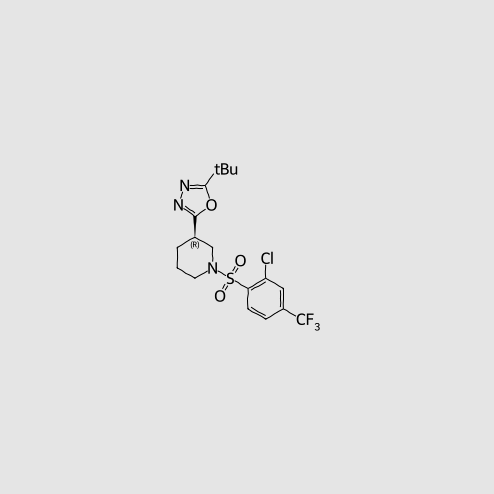 CC(C)(C)c1nnc([C@@H]2CCCN(S(=O)(=O)c3ccc(C(F)(F)F)cc3Cl)C2)o1